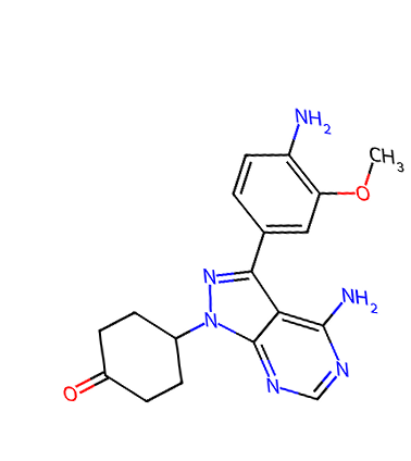 COc1cc(-c2nn(C3CCC(=O)CC3)c3ncnc(N)c23)ccc1N